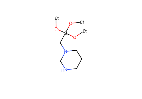 CCO[Si](CN1CCCNC1)(OCC)OCC